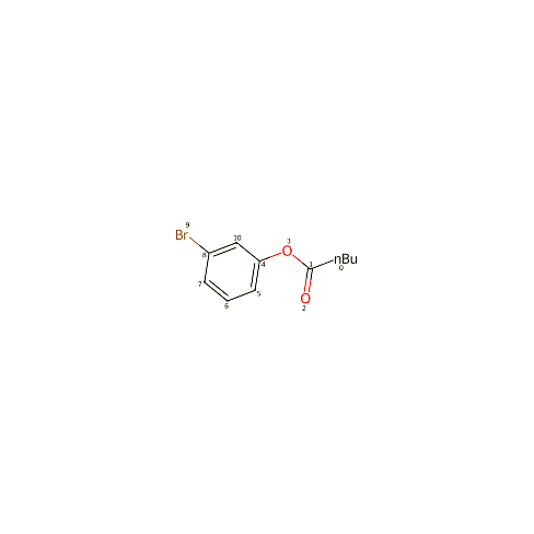 CCCCC(=O)Oc1cccc(Br)c1